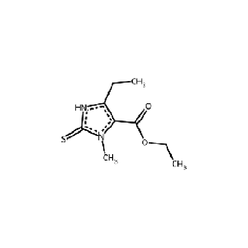 CCOC(=O)c1c(CC)[nH]c(=S)n1C